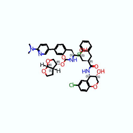 CN(C)c1ccc(-c2ccc(C[C@H](NC(=O)O[C@H]3CO[C@H]4OCC[C@H]43)[C@@H](O)C[C@@H](Cc3ccccc3F)C(=O)N[C@H]3c4cc(Cl)ccc4OC[C@H]3O)cc2)cn1